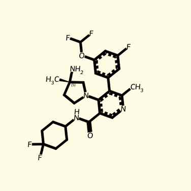 Cc1ncc(C(=O)NC2CCC(F)(F)CC2)c(N2CC[C@](C)(N)C2)c1-c1cc(F)cc(OC(F)F)c1